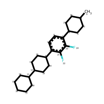 CC1CCC(c2ccc(C3CCC(C4CCCCC4)CC3)c(F)c2F)CC1